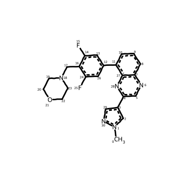 Cn1cc(-c2cnc3cccc(-c4cc(F)c(CN5CCOCC5)c(F)c4)c3n2)cn1